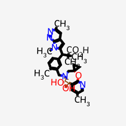 Cc1cnc2c(c1)S(O)(O)N(Cc1cc(C(c3cc4cc(C)nnc4n3C)C(C)(C)C(=O)O)ccc1C)CC1(CC1)O2